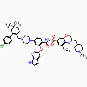 CN1CCC(C[C@@H]2COc3cc(S(=O)(=O)NC(=O)c4ccc(N5CCN(CC6=C(c7ccc(Cl)cc7)CC(C)(C)CC6)CC5)cc4Oc4cnc5[nH]ccc5c4)cc([N+](=O)[O-])c3N2)CC1